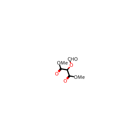 COC(=O)C(OC=O)C(=O)OC